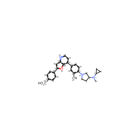 CN(C1CC1)C1CCN(c2ccc(-c3ccnc4cc(-c5ccc(C(=O)O)cc5)oc34)cc2C#N)C1